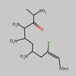 CCCCCCCC/C=C(/F)CC(CC(C(C(=O)C(C)[N+](=O)[O-])[N+](=O)[O-])[N+](=O)[O-])[N+](=O)[O-]